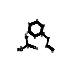 C=CC[n+]1ccccc1.O=S([O-])O